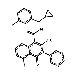 Cc1c(C(=O)N[C@H](c2cccc(F)c2)C2CC2)c2cccc(F)c2c(=O)n1-c1cncnc1